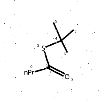 CCCC(=O)SC(C)(C)C